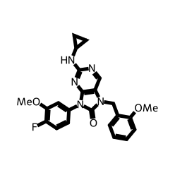 COc1cc(-n2c(=O)n(Cc3ccccc3OC)c3cnc(NC4CC4)nc32)ccc1F